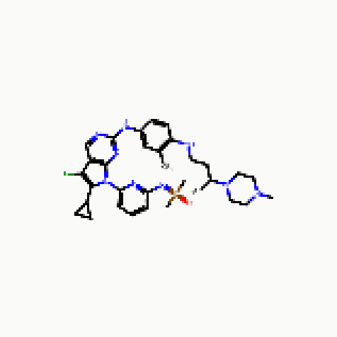 CCCC(CCNc1ccc(Nc2ncc3c(F)c(C4CC4)n(-c4cccc(N=S(C)(C)=O)n4)c3n2)cc1C(F)(F)F)N1CCN(C)CC1